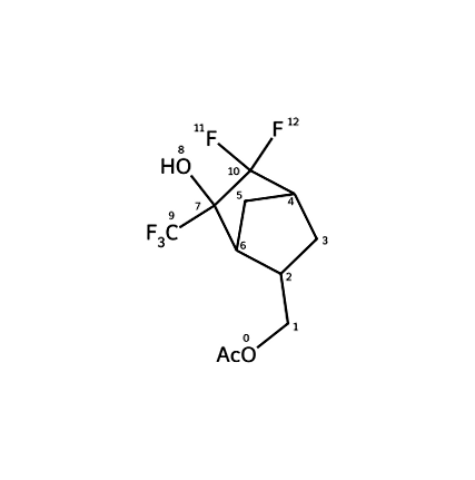 CC(=O)OCC1CC2CC1C(O)(C(F)(F)F)C2(F)F